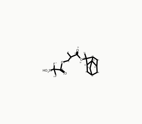 CC(COC(=O)C(F)(F)S(=O)(=O)O)C(=O)OC1(C)C2CC3CC(C2)CC1C3